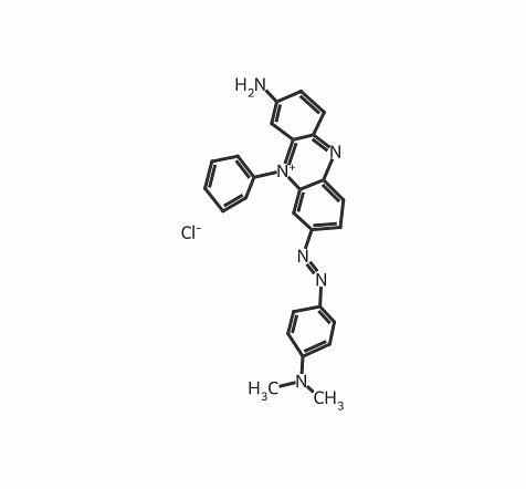 CN(C)c1ccc(/N=N/c2ccc3nc4ccc(N)cc4[n+](-c4ccccc4)c3c2)cc1.[Cl-]